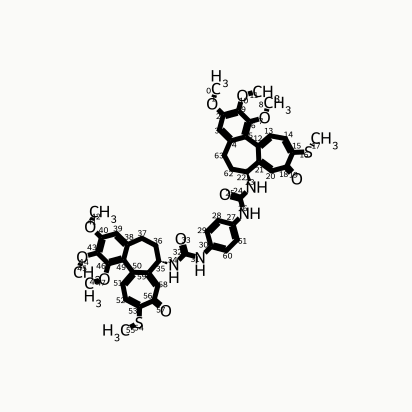 COc1cc2c(c(OC)c1OC)-c1ccc(SC)c(=O)cc1[C@@H](NC(=O)Nc1ccc(NC(=O)N[C@H]3CCc4cc(OC)c(OC)c(OC)c4-c4ccc(SC)c(=O)cc43)cc1)CC2